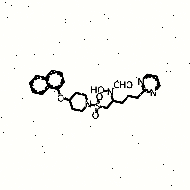 O=CN(O)C(CCCc1ncccn1)CS(=O)(=O)N1CCC(Oc2cccc3ccccc23)CC1